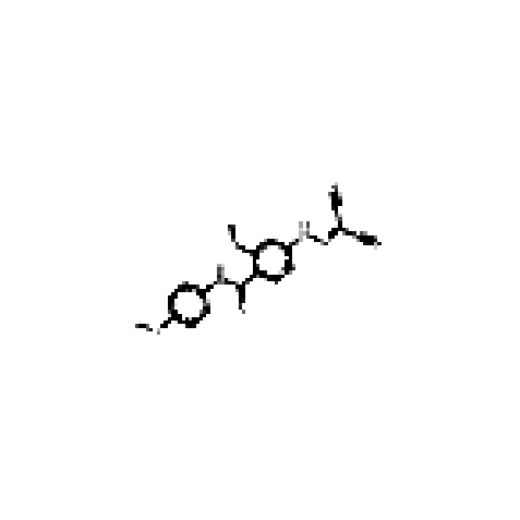 COc1ccc(NC(=O)c2ccc(NN=C(C#N)C#N)cc2OC)cc1